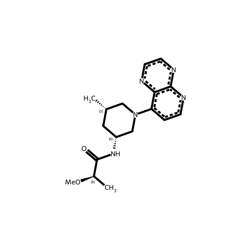 CO[C@H](C)C(=O)N[C@@H]1C[C@H](C)CN(c2ccnc3nccnc23)C1